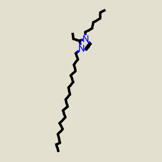 CCCCCCCCCCCCCCCCCCN1C=CN(CCCCCC)C1CC